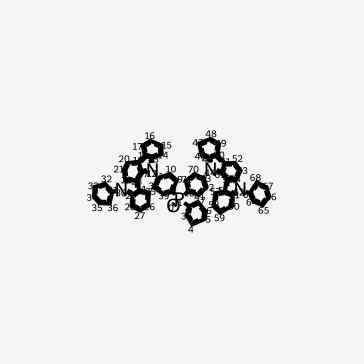 O=P(c1ccccc1)(c1ccc(-n2c3ccccc3c3ccc4c(c5ccccc5n4-c4ccccc4)c32)cc1)c1ccc(-n2c3ccccc3c3ccc4c(c5ccccc5n4-c4ccccc4)c32)cc1